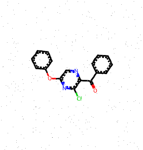 O=C(c1ccccc1)c1ncc(Oc2ccccc2)nc1Cl